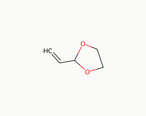 [CH]=CC1OCCO1